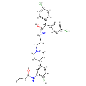 CCCC(=O)Nc1cc(C2CCN(CCCNC(=O)C(c3ccc(Cl)cc3)c3ccc(Cl)cc3)CC2)ccc1F